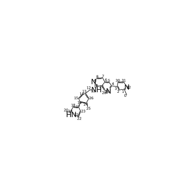 Cc1cc(-c2cc3ccnc(NCc4ccc(C5=CC(C)NC=C5)c(C)c4)c3cn2)ccn1